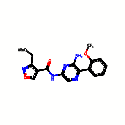 COCc1nocc1C(=O)Nc1cnc(-c2ccccc2OC(F)(F)F)c(N)n1